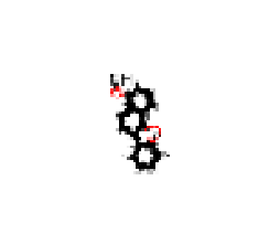 COc1cccc2c1ccc1c3ccccc3oc21